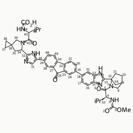 COC(=O)N[C@H](C(=O)N1CC2CCC1(c1nc3ccc(-c4ccc5c(c4)C(=O)c4cc(-c6cnc(C7CC8(CC8)CN7C(=O)C(NC(=O)O)C(C)C)[nH]6)ccc4-5)cc3[nH]1)C2)C(C)C